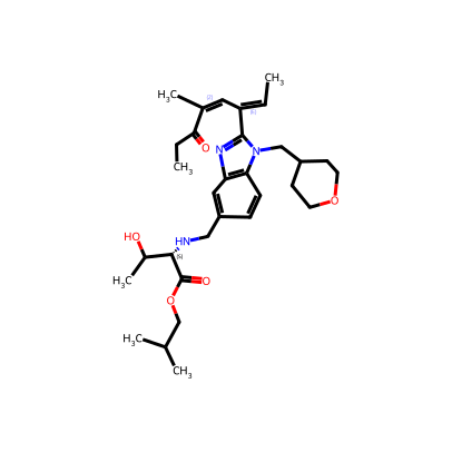 C/C=C(\C=C(\C)C(=O)CC)c1nc2cc(CN[C@H](C(=O)OCC(C)C)C(C)O)ccc2n1CC1CCOCC1